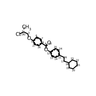 C[C@@H](Cl)COc1ccc(C(=O)Oc2ccc(CCC3CC[CH]CC3)cc2)cc1